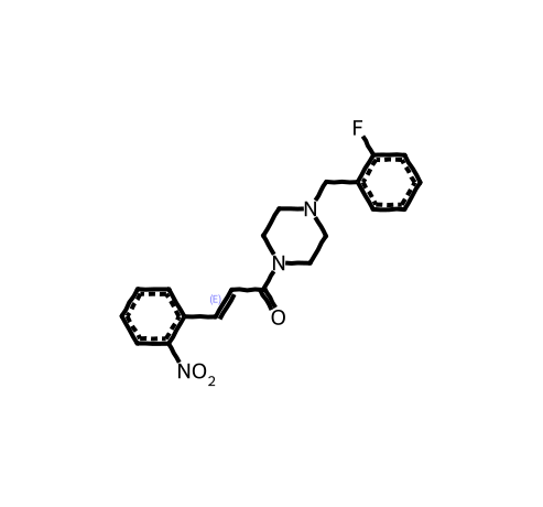 O=C(/C=C/c1ccccc1[N+](=O)[O-])N1CCN(Cc2ccccc2F)CC1